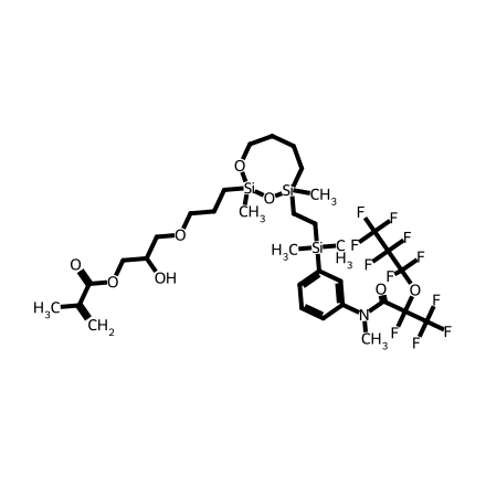 C=C(C)C(=O)OCC(O)COCCC[Si]1(C)OCCCC[Si](C)(CC[Si](C)(C)c2cccc(N(C)C(=O)C(F)(OC(F)(F)C(F)(F)C(F)(F)F)C(F)(F)F)c2)O1